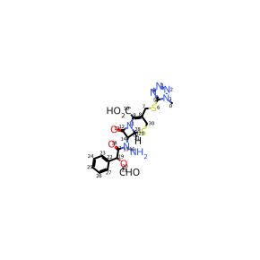 Cn1nnnc1SCC1=C(C(=O)O)N2C(=O)C(N(N)C(=O)C(OC=O)c3ccccc3)[C@H]2SC1